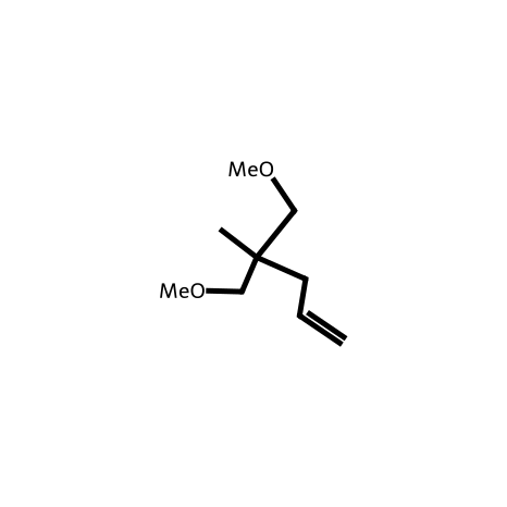 C=CCC(C)(COC)COC